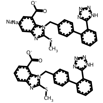 CSc1nc2cccc(C(=O)[O-])c2n1Cc1ccc(-c2ccccc2-c2nnn[nH]2)cc1.CSc1nc2cccc(C(=O)[O-])c2n1Cc1ccc(-c2ccccc2-c2nnn[nH]2)cc1.[Na+].[Na+]